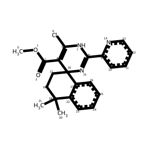 COC(=O)C1=C(Cl)NC(c2ccccn2)=NC12CCC(C)(C)c1ccccc12